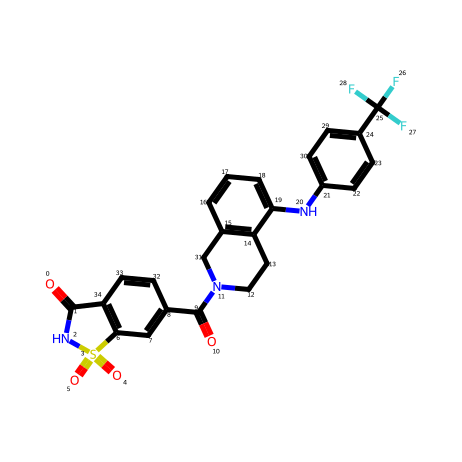 O=C1NS(=O)(=O)c2cc(C(=O)N3CCc4c(cccc4Nc4ccc(C(F)(F)F)cc4)C3)ccc21